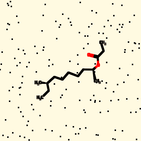 CCC(=O)O[C@@H](C)CCCCC[C@@H](C)CC